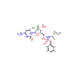 C[C@H](NP(=O)(OC[C@H]1O[C@@H](n2ccc(N)nc2=O)[C@@](F)(Cl)[C@@H]1O)Oc1ccccc1)C(=O)O